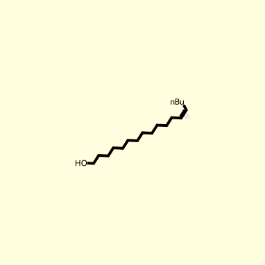 CCCC/C=C\CCCCCCCCCCCCO